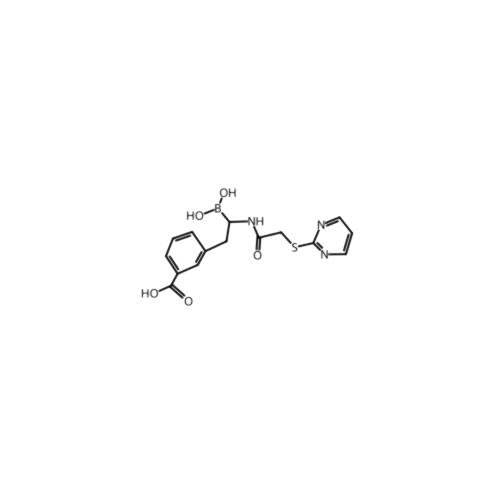 O=C(CSc1ncccn1)NC(Cc1cccc(C(=O)O)c1)B(O)O